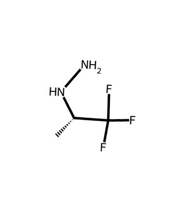 C[C@H](NN)C(F)(F)F